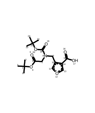 CC(C)(C)OC(=O)CN(Cc1cocc1C(=O)O)C(=O)OC(C)(C)C